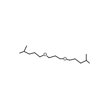 CC(C)CCCOCCCOCCCC(C)C